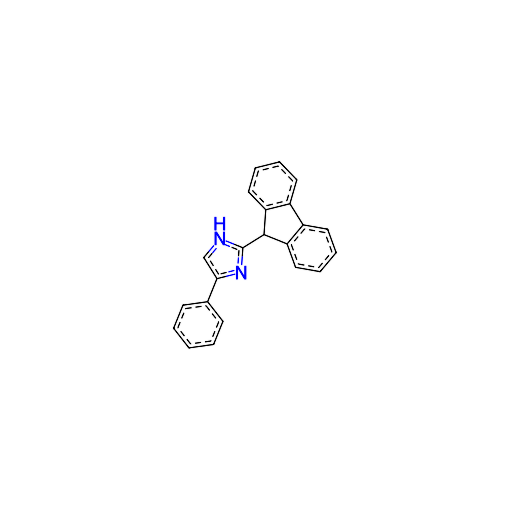 c1ccc(-c2c[nH]c(C3c4ccccc4-c4ccccc43)n2)cc1